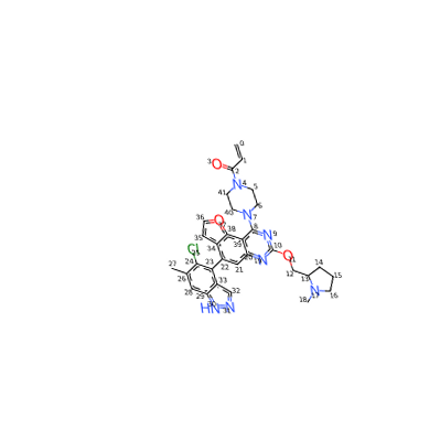 C=CC(=O)N1CCN(c2nc(OCC3CCCN3C)nc3cc(-c4c(Cl)c(C)cc5[nH]ncc45)c4ccoc4c23)CC1